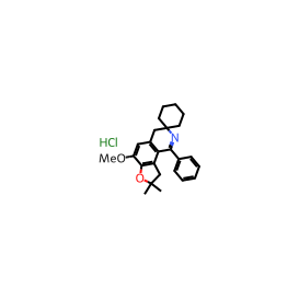 COc1cc2c(c3c1OC(C)(C)C3)C(c1ccccc1)=NC1(CCCCC1)C2.Cl